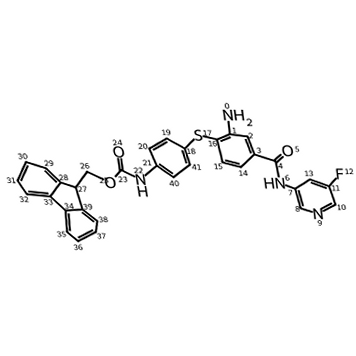 Nc1cc(C(=O)Nc2cncc(F)c2)ccc1Sc1ccc(NC(=O)OCC2c3ccccc3-c3ccccc32)cc1